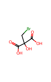 O=C(O)C(O)(CBr)C(=O)O